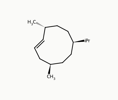 CC(C)[C@H]1CC[C@@H](C)C/C=C/[C@H](C)CC1